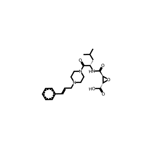 CC(C)C[C@H](NC(=O)[C@H]1O[C@@H]1C(=O)O)C(=O)N1CCN(CC=Cc2ccccc2)CC1